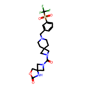 O=C1NC2(CO1)CN(C(=O)N1CC3(CCN(Cc4cccc(S(=O)(=O)C(F)(F)F)c4)CC3)C1)C2